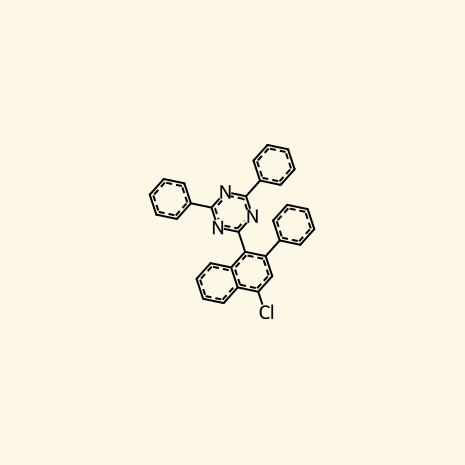 Clc1cc(-c2ccccc2)c(-c2nc(-c3ccccc3)nc(-c3ccccc3)n2)c2ccccc12